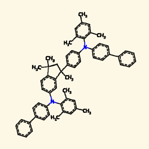 Cc1cc(C)c(N(c2ccc(-c3ccccc3)cc2)c2ccc(C3(C)CC(C)(C)c4ccc(N(c5ccc(-c6ccccc6)cc5)c5c(C)cc(C)cc5C)cc43)cc2)c(C)c1